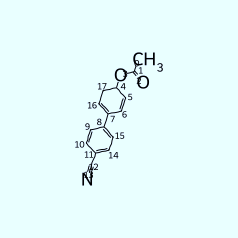 CC(=O)OC1C=CC(c2ccc(C#N)cc2)=CC1